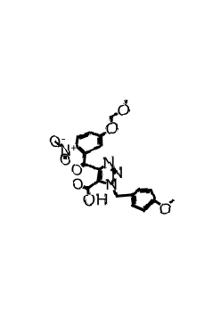 COCOc1ccc([N+](=O)[O-])c(C(=O)c2nnn(Cc3ccc(OC)cc3)c2C(=O)O)c1